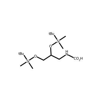 CC(C)(C)[Si](C)(C)OCC(CNC(=O)O)O[Si](C)(C)C(C)(C)C